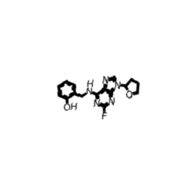 Oc1ccccc1CNc1nc(F)nc2c1ncn2C1CCCO1